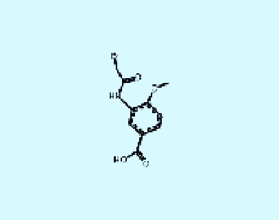 COc1ccc(C(=O)O)cc1NC(=O)CBr